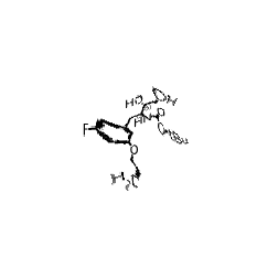 C=CCOc1cc(F)cc(C[C@H](NC(=O)OC(C)(C)C)[C@H](O)CO)c1